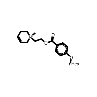 CCCCCCOc1ccc(C(=O)OCC[N+]2(C)CC=CCC2)cc1